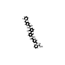 Cc1c(NC(=O)c2ccc(CN3CCCC[C@H]3C(=O)O)cn2)cccc1-c1cccc(NC(=O)c2ccc(CN3CCCC[C@H]3C)cn2)c1Cl